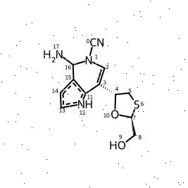 N#CN1C=C([C@@H]2CS[C@@H](CO)O2)c2[nH]ccc2C1N